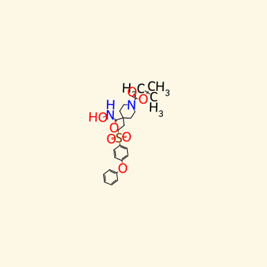 CC(C)(C)OC(=O)N1CCC(CCS(=O)(=O)c2ccc(Oc3ccccc3)cc2)(C(=O)NO)CC1